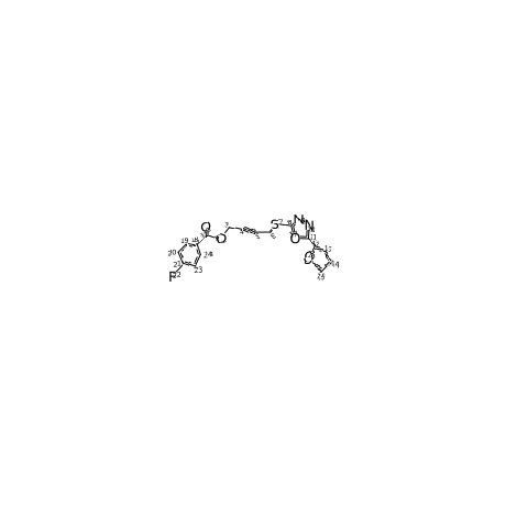 O=C(OCC#CCSc1nnc(-c2ccco2)o1)c1ccc(F)cc1